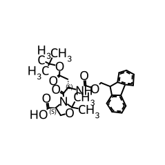 CC(C)(C)OC(=O)C[C@H](NC(=O)OCC1c2ccccc2-c2ccccc21)C(=O)N1[C@H](C(=O)O)COC1(C)C